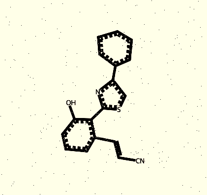 N#C/C=C/c1cccc(O)c1-c1nc(-c2ccccc2)cs1